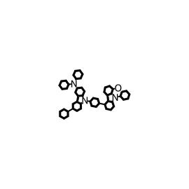 c1ccc(-c2ccc3c(c2)c2cc(N(c4ccccc4)c4ccccc4)ccc2n3-c2ccc(-c3cccc4c3c3cccc5c3n4-c3ccccc3O5)cc2)cc1